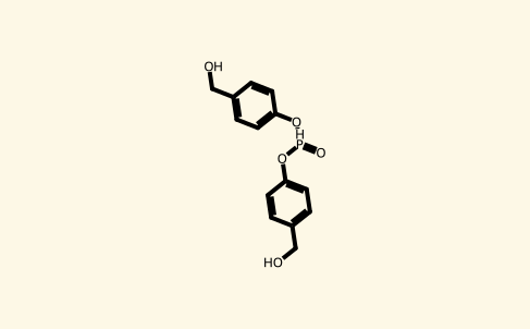 O=[PH](Oc1ccc(CO)cc1)Oc1ccc(CO)cc1